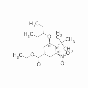 CCOC(=O)C1=C[C@@H](OC(CC)CC)[C@H](C(C)(C)C)[C@@H]([N+](=O)[O-])C1